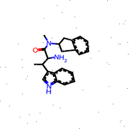 CC(c1c[nH]c2ccccc12)C(N)C(=O)N(C)C1Cc2ccccc2C1